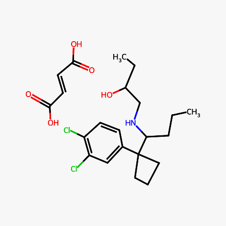 CCCC(NCC(O)CC)C1(c2ccc(Cl)c(Cl)c2)CCC1.O=C(O)C=CC(=O)O